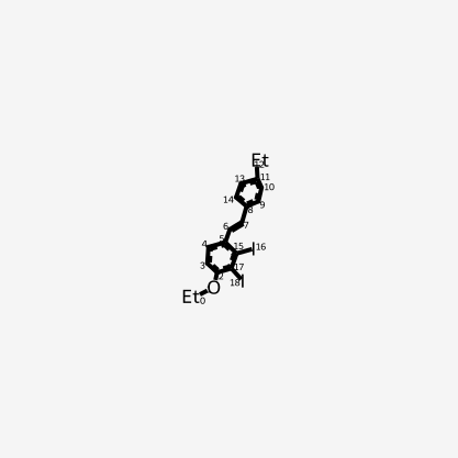 CCOc1ccc(C=Cc2ccc(CC)cc2)c(I)c1I